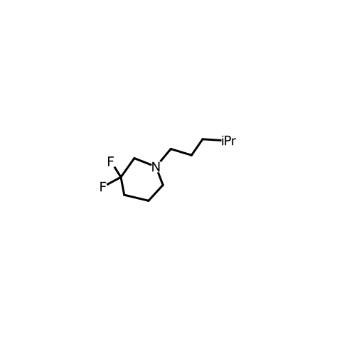 CC(C)CCCN1CCCC(F)(F)C1